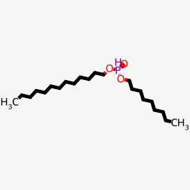 CCCCCCCCCCCCCO[PH](=O)OCCCCCCCCC